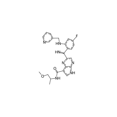 COCC(C)NC(=O)c1c[nH]c2ncc(C(=N)c3ccc(F)cc3NCc3cccnc3)nc12